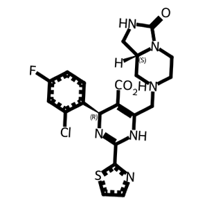 O=C(O)C1=C(CN2CCN3C(=O)NC[C@H]3C2)NC(c2nccs2)=N[C@H]1c1ccc(F)cc1Cl